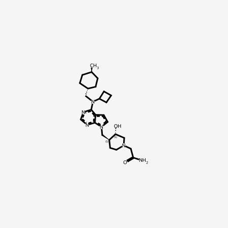 C[C@H]1CC[C@H](CN(c2ncnc3c2ccn3C[C@@H]2CCN(CC(N)=O)C[C@H]2O)C2CCC2)CC1